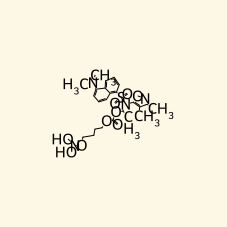 Cc1noc(N(C(C)OC(=O)OCCCCON(O)O)S(=O)(=O)c2cccc3c(N(C)C)cccc23)c1C